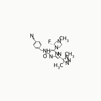 Cc1nnn(C)c1-c1cc2nc(C(=O)NCc3ccc(C#N)cc3)cc(N3CCN(C)C[C@H]3CF)n2n1